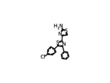 Nc1nc(-c2nc(-c3ccccc3)c(-c3ccc(Cl)cc3)s2)cs1